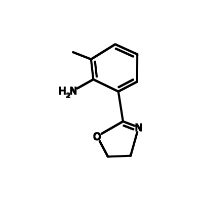 Cc1cccc(C2=NCCO2)c1N